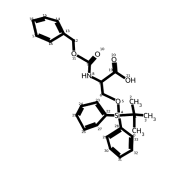 CC(C)(C)[Si](OCC(NC(=O)OCc1ccccc1)C(=O)O)(c1ccccc1)c1ccccc1